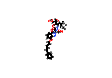 CC(C)CC(NC(=O)[C@H](CO)NC(=O)c1cccc(OCCCCCc2ccccc2)c1)C(=O)C1(CO)CO1